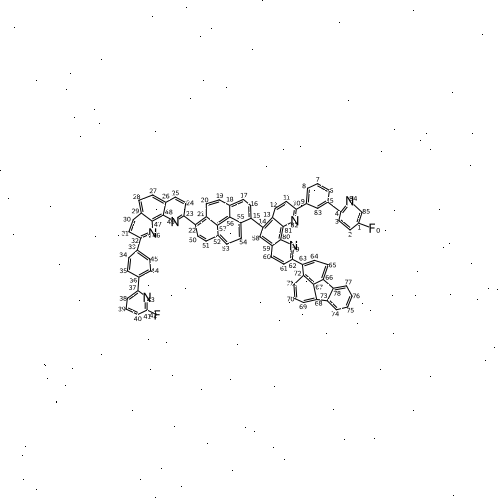 Fc1ccc(-c2cccc(-c3ccc4c(-c5ccc6ccc7c(-c8ccc9ccc%10ccc(-c%11ccc(-c%12cccc(F)n%12)cc%11)nc%10c9n8)ccc8ccc5c6c87)cc5ccc(-c6ccc7c8c(cccc68)-c6ccccc6-7)nc5c4n3)c2)nc1